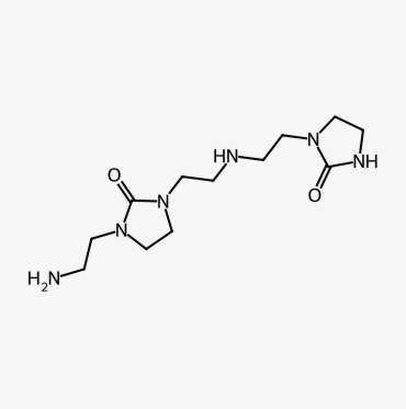 NCCN1CCN(CCNCCN2CCNC2=O)C1=O